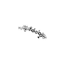 CCNC(=O)NC[C@H]1CN(c2ccc(N3CCN(c4cc5c(cc4F)c(=O)c(C(=O)O)cn5C4CC4)CC3)c(F)c2)C(=O)O1